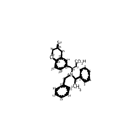 CC(c1ccccc1)N(Cc1ccccc1)[C@H](CC(=O)O)c1ccc2c(c1)CC(=S)CO2